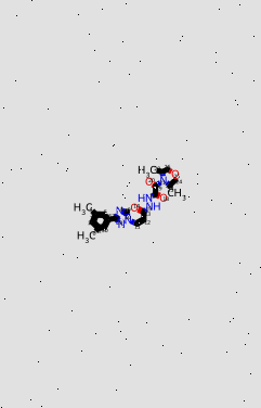 Cc1cc(C)cc(-c2ncn(/C=C\C(=O)NNC(=O)C(=O)N3C(C)COCC3C)n2)c1